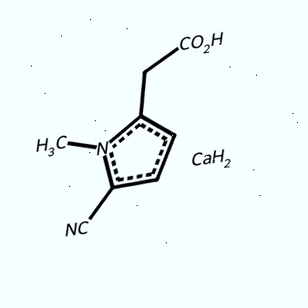 Cn1c(C#N)ccc1CC(=O)O.[CaH2]